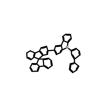 C1=C=C(c2cccc(-n3c4ccccc4c4cc(-c5ccc6c(c5)C5(C7=C6CCC=C7)c6ccccc6-c6ccccc65)ccc43)c2)C=CC=1